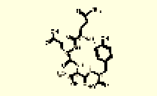 C[C@@H](O)[C@H](NC(=O)[C@H](CCC(=O)O)NC(=O)[C@@H](N)CCC(N)=O)C(=O)N[C@@H](Cc1ccc(O)cc1)C(=O)O